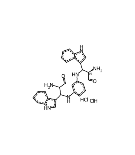 Cl.Cl.NC(C=O)C(Nc1cccc(NC(c2c[nH]c3ccccc23)[C@@H](N)C=O)c1)c1c[nH]c2ccccc12